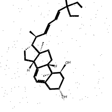 CCC(C)(/C=C/C=C/[C@H](C)[C@H]1CC[C@H]2C3=CC=C4C[C@@H](O)C[C@H](O)[C@]4(C)[C@H]3CC[C@]12C)CC